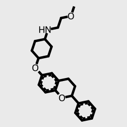 COCCNC1CCC(Oc2ccc3c(c2)CCC(c2ccccc2)O3)CC1